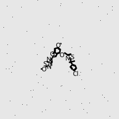 COc1cc(OCc2csc(C(C)(C)c3ccc(Cl)cc3)n2)c2cc(-c3cn4nc(OC)sc4n3)oc2c1